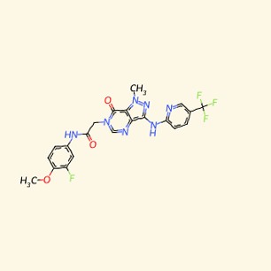 COc1ccc(NC(=O)Cn2cnc3c(Nc4ccc(C(F)(F)F)cn4)nn(C)c3c2=O)cc1F